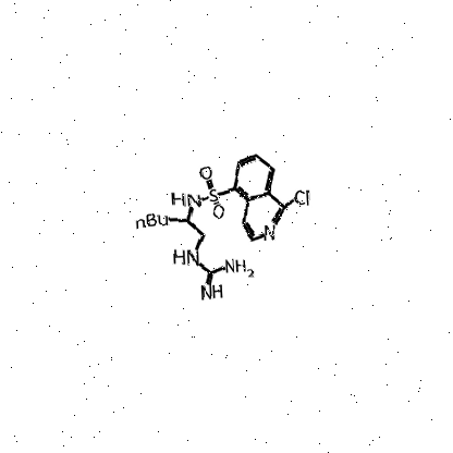 CCCCC(CNC(=N)N)NS(=O)(=O)c1cccc2c(Cl)nccc12